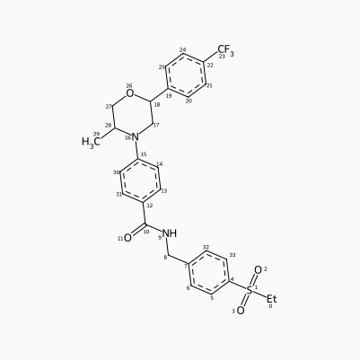 CCS(=O)(=O)c1ccc(CNC(=O)c2ccc(N3CC(c4ccc(C(F)(F)F)cc4)OCC3C)cc2)cc1